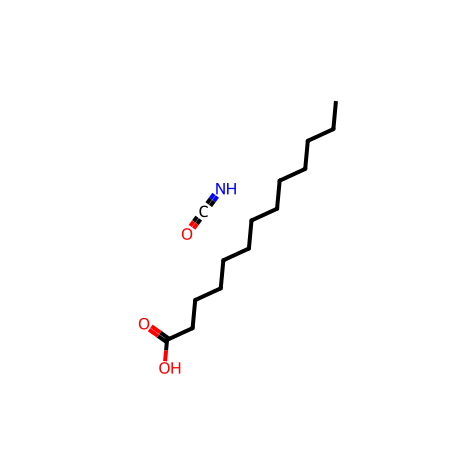 CCCCCCCCCCCCC(=O)O.N=C=O